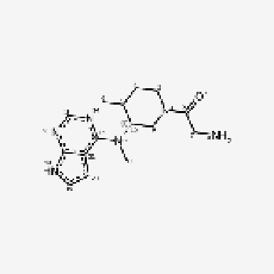 CC1CCN(C(=O)CN)C[C@@H]1N(C)c1ncnc2[nH]ccc12